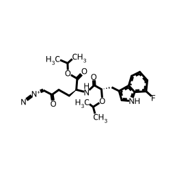 CC(C)OC(=O)[C@H](CCC(=O)C=[N+]=[N-])NC(=O)[C@H](Cc1c[nH]c2c(F)cccc12)OC(C)C